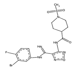 CS(=O)(=O)N1CCC(C(=O)Nc2nonc2C(=N)Nc2ccc(F)c(Br)c2)CC1